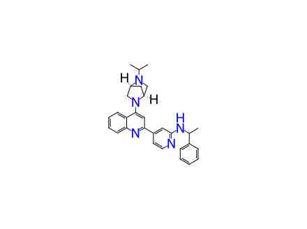 CC(Nc1cc(-c2cc(N3C[C@@H]4C[C@H]3CN4C(C)C)c3ccccc3n2)ccn1)c1ccccc1